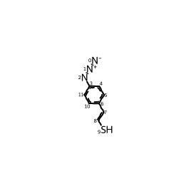 [N-]=[N+]=Nc1ccc(/C=C/S)cc1